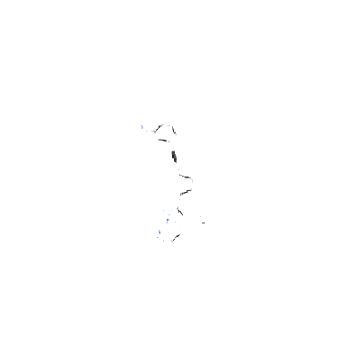 CNc1cccc(C#Cc2ccc(-c3nc4cnccn4c3NC(C)(C)C)s2)c1